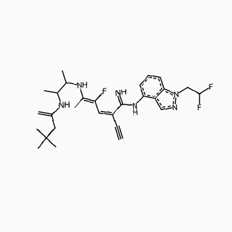 C#C/C(=C/C(F)=C(\C)NC(C)C(C)NC(=C)CC(C)(C)C)C(=N)Nc1cccc2c1cnn2CC(F)F